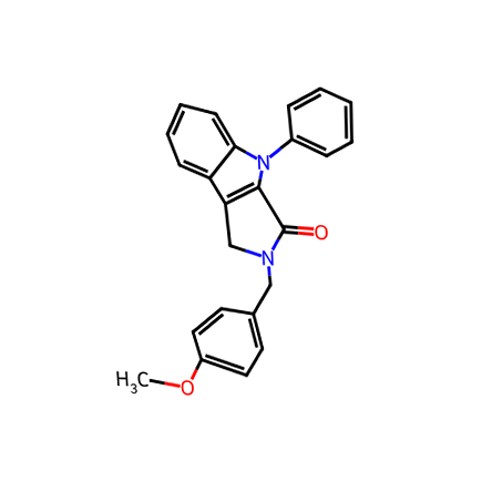 COc1ccc(CN2Cc3c(n(-c4ccccc4)c4ccccc34)C2=O)cc1